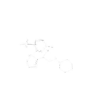 Cc1ccc(S(=O)(=O)O)c([N+]2(N)CCN=C2C(N)CCN2CCCCC2)c1